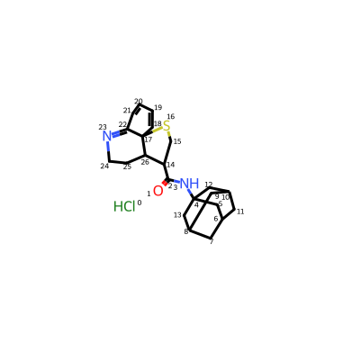 Cl.O=C(NC12CC3CC(CC(C3)C1)C2)C1CSC23C=CC=CC2=NCCC13